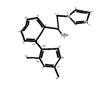 CCCCC(Cn1ccnc1)c1ccccc1-c1ccc(C)cc1C